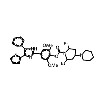 CCC1CC(N2CCCCC2)CC(CC)N1C(=O)Oc1c(OC)cc(-c2nc(-c3cccs3)c(-c3ccccc3)[nH]2)cc1OC